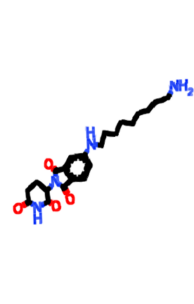 NCCCCCCCCCNc1ccc2c(c1)C(=O)N(C1CCC(=O)NC1=O)C2=O